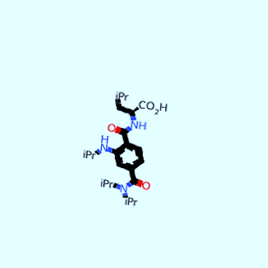 CC(C)C[C@H](NC(=O)c1ccc(C(=O)N(C(C)C)C(C)C)cc1NC(C)C)C(=O)O